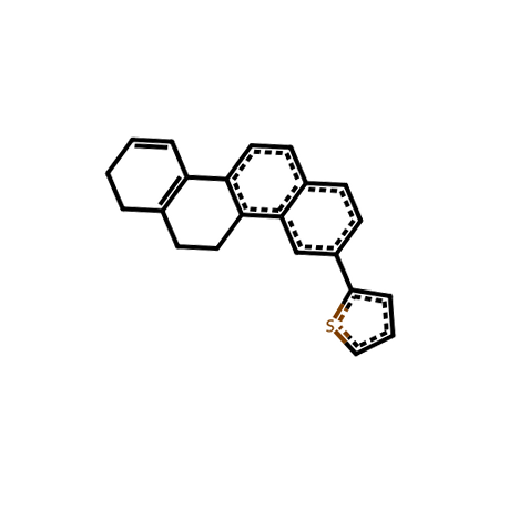 C1=CC2=C(CC1)CCc1c2ccc2ccc(-c3cccs3)cc12